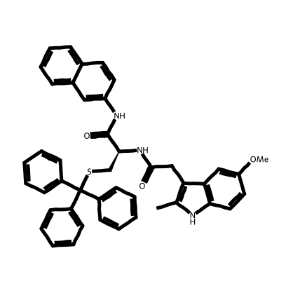 COc1ccc2[nH]c(C)c(CC(=O)N[C@@H](CSC(c3ccccc3)(c3ccccc3)c3ccccc3)C(=O)Nc3ccc4ccccc4c3)c2c1